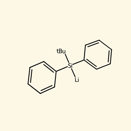 [Li][Si](c1ccccc1)(c1ccccc1)C(C)(C)C